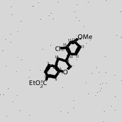 CCOC(=O)c1ccc2c(c1)OCC(c1ccc(OC)cc1Cl)C2